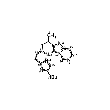 CC(Cc1ncc2nc(C(C)(C)C)cn2n1)c1cn2cnncc2n1